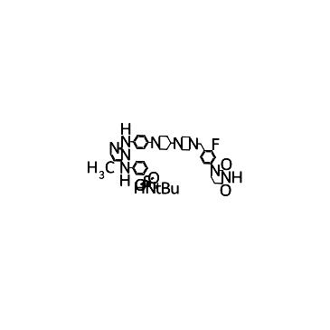 Cc1cnc(Nc2ccc(N3CCC(N4CCN(Cc5ccc(N6CCC(=O)NC6=O)cc5F)CC4)CC3)cc2)nc1Nc1cccc(S(=O)(=O)NC(C)(C)C)c1